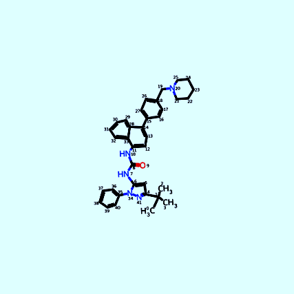 CC(C)(C)c1cc(NC(=O)Nc2ccc(-c3ccc(CN4CCCCC4)cc3)c3ccccc23)n(-c2ccccc2)n1